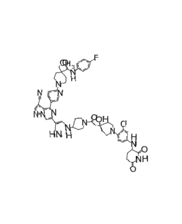 CCC1(C(=O)Nc2ccc(F)cc2)CCN(c2ccc(-c3nc(/C(C=N)=C/NC4CCN(C(=O)CC5(O)CCN(c6ccc(NC7CCC(=O)NC7=O)cc6Cl)CC5)CC4)cn4ncc(C#N)c34)cn2)CC1